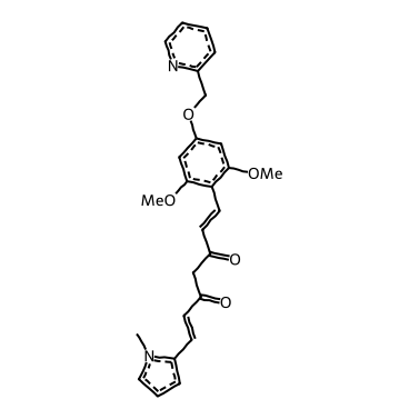 COc1cc(OCc2ccccn2)cc(OC)c1/C=C/C(=O)CC(=O)/C=C/c1cccn1C